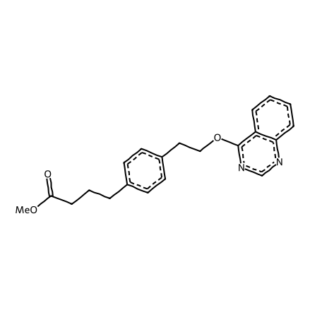 COC(=O)CCCc1ccc(CCOc2ncnc3ccccc23)cc1